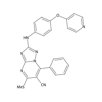 CSc1nc2nc(Nc3ccc(Oc4ccncc4)cc3)nn2c(-c2ccccc2)c1C#N